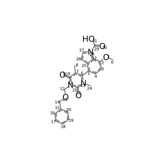 COc1ccc(-c2c(C)c(=O)n(COCc3ccccc3)c(=O)n2C)c2ccn(C(=O)O)c12